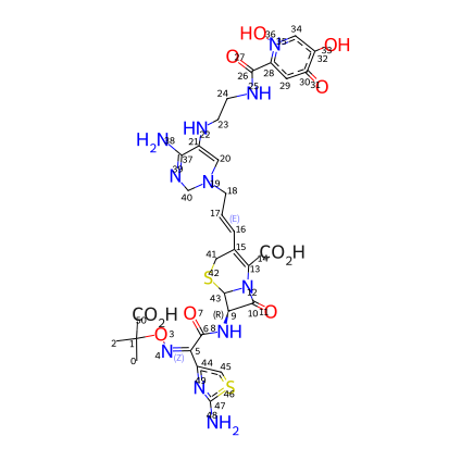 CC(C)(O/N=C(\C(=O)N[C@@H]1C(=O)N2C(C(=O)O)=C(/C=C/CN3C=C(NCCNC(=O)c4cc(=O)c(O)cn4O)C(N)=NC3)CSC12)c1csc(N)n1)C(=O)O